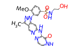 COc1ccc(S(=O)(=O)NCCO)cc1-n1nc(C)c2cnc(Nc3ncc[nH]c3=O)cc21